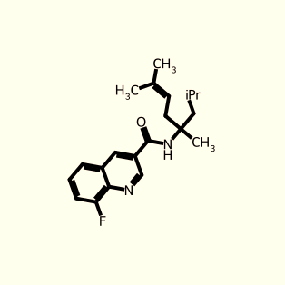 CC(C)=CCC(C)(CC(C)C)NC(=O)c1cnc2c(F)cccc2c1